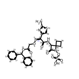 Nc1nc(/C(=N/OCC(=O)OC(c2ccccc2)c2ccccc2)C(=O)NC2C(=O)N(OS(=O)(=O)O)C23CCC3)cs1